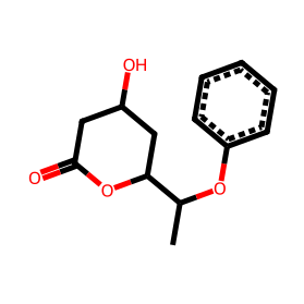 CC(Oc1ccccc1)C1CC(O)CC(=O)O1